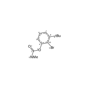 CNC(=O)Oc1cccc(C(C)(C)C)c1Br